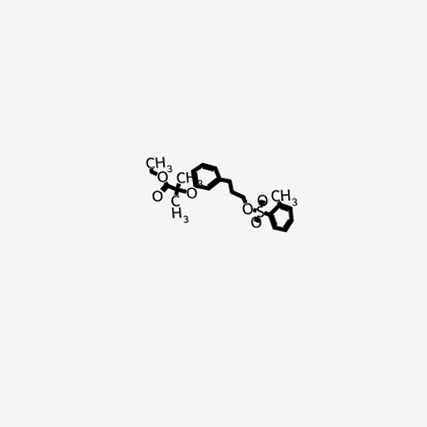 CCOC(=O)C(C)(C)Oc1cccc(CCCOS(=O)(=O)c2ccccc2C)c1